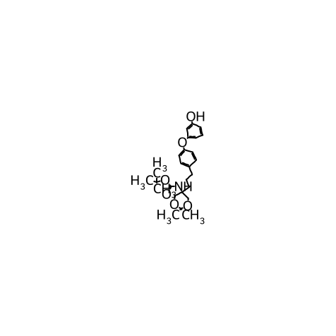 CC(C)(C)OC(=O)NC1(CCCc2ccc(Oc3cccc(O)c3)cc2)COC(C)(C)OC1